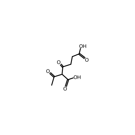 CC(=O)C(C(=O)O)C(=O)CCC(=O)O